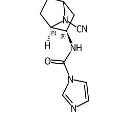 N#CN1C2CC[C@@H]1[C@H](NC(=O)n1ccnc1)C2